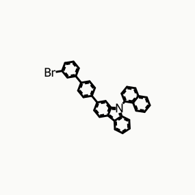 Brc1cccc(-c2ccc(-c3ccc4c5ccccc5n(-c5cccc6ccccc56)c4c3)cc2)c1